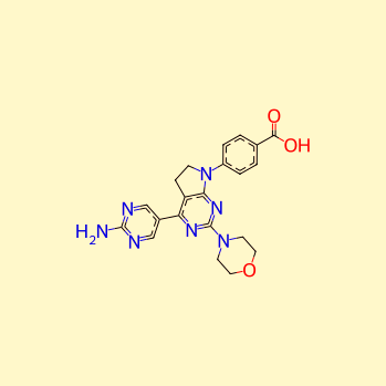 Nc1ncc(-c2nc(N3CCOCC3)nc3c2CCN3c2ccc(C(=O)O)cc2)cn1